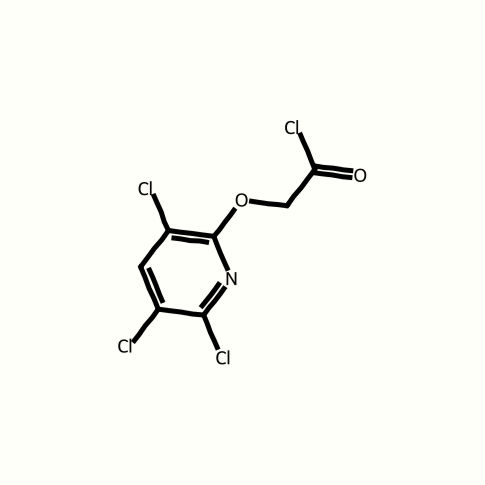 O=C(Cl)COc1nc(Cl)c(Cl)cc1Cl